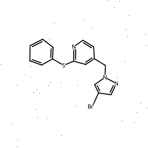 Brc1cnn(Cc2ccnc(Sc3ccccc3)c2)c1